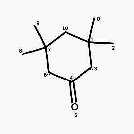 CC1(C)[C]C(=O)[C]C(C)(C)C1